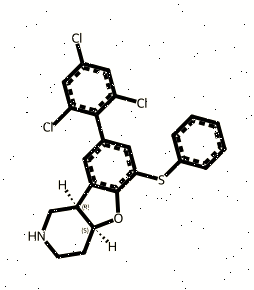 Clc1cc(Cl)c(-c2cc(Sc3ccccc3)c3c(c2)[C@@H]2CNCC[C@@H]2O3)c(Cl)c1